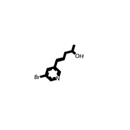 CC(O)CC=Cc1cncc(Br)c1